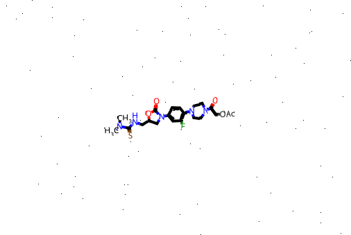 CC(=O)OCC(=O)N1CCN(c2ccc(N3CC(CNC(=S)N(C)C)OC3=O)cc2F)CC1